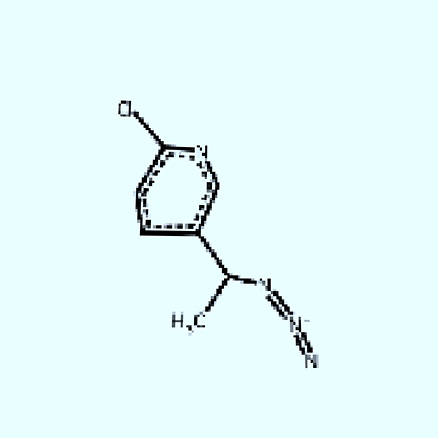 CC(N=[N+]=[N-])c1ccc(Cl)nc1